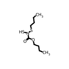 CCCCOC(=O)N(S)SCCCC